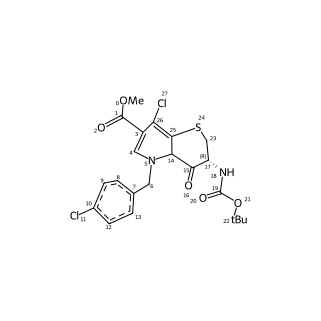 COC(=O)C1=CN(Cc2ccc(Cl)cc2)C2C(=O)[C@@H](NC(=O)OC(C)(C)C)CSC2=C1Cl